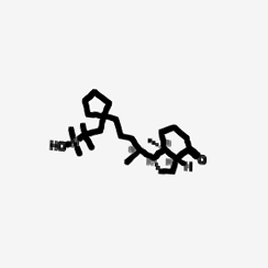 C[C@@H](CCCC1(CC(C)(C)[Si](C)(C)O)CCCC1)[C@H]1CC[C@H]2C(=O)CCC[C@]12C